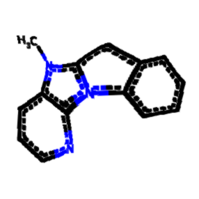 Cn1c2cccnc2n2c3ccccc3cc12